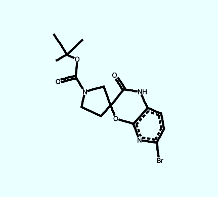 CC(C)(C)OC(=O)N1CCC2(C1)Oc1nc(Br)ccc1NC2=O